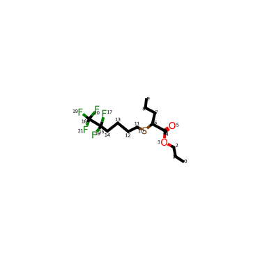 CCCOC(=O)C(CCC)SCCCCC(F)(F)C(F)(F)F